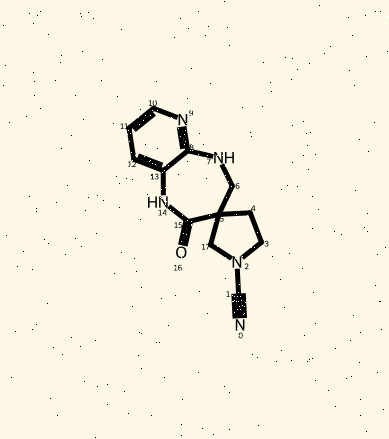 N#CN1CCC2(CNc3ncccc3NC2=O)C1